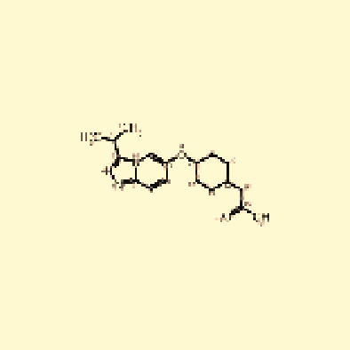 CC(C)c1nnc2ccc(OC3CCC(CC(=O)O)CC3)cn12